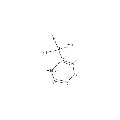 FC(F)(F)C1=NCC=CN1